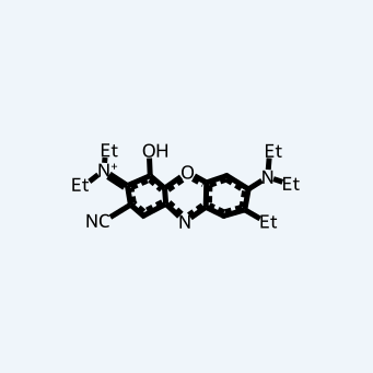 CCc1cc2nc3cc(C#N)c(=[N+](CC)CC)c(O)c-3oc2cc1N(CC)CC